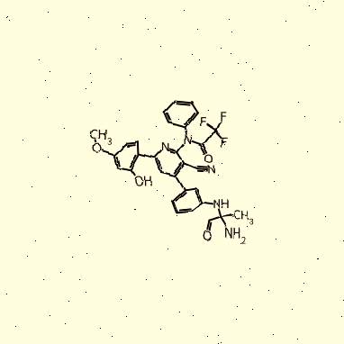 COc1ccc(-c2cc(-c3cccc(N[C@](C)(N)C=O)c3)c(C#N)c(N(C(=O)C(F)(F)F)c3ccccc3)n2)c(O)c1